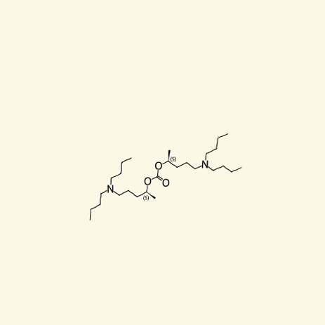 CCCCN(CCCC)CCC[C@H](C)OC(=O)O[C@@H](C)CCCN(CCCC)CCCC